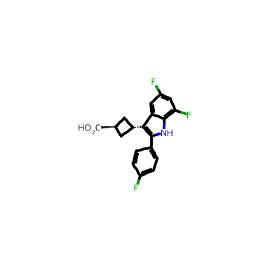 O=C(O)[C@H]1C[C@H](c2c(-c3ccc(F)cc3)[nH]c3c(F)cc(F)cc32)C1